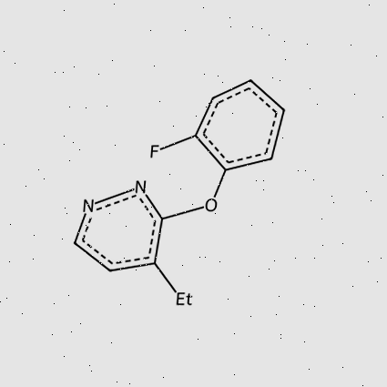 CCc1ccnnc1Oc1ccccc1F